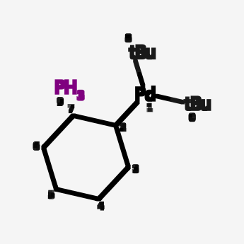 C[C](C)(C)[Pd]([CH]1CCCCC1)[C](C)(C)C.P